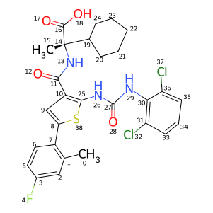 Cc1cc(F)ccc1-c1cc(C(=O)N[C@](C)(C(=O)O)C2CCCCC2)c(NC(=O)Nc2c(Cl)cccc2Cl)s1